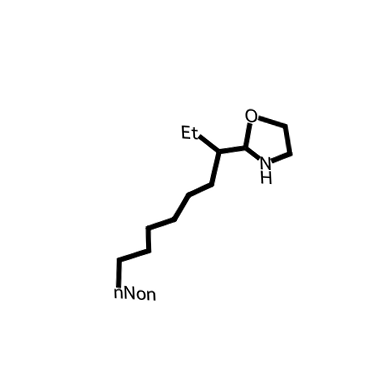 CCCCCCCCCCCCCCCC(CC)C1NCCO1